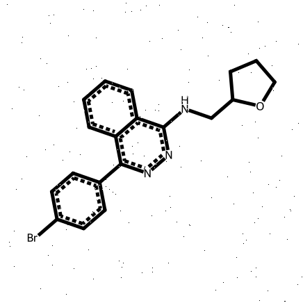 Brc1ccc(-c2nnc(NCC3CCCO3)c3ccccc23)cc1